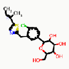 C/C=C(\C)c1cnc(Cc2cc(C3OC(CO)C(O)C(O)C3O)ccc2Cl)s1